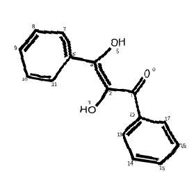 O=C(C(O)=C(O)c1ccccc1)c1ccccc1